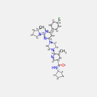 Cc1cc(C(=O)NC2CCCC2)cnc1N1CCN(c2cc(-c3ccc(F)cc3)nc(N3CCCC3C)n2)CC1